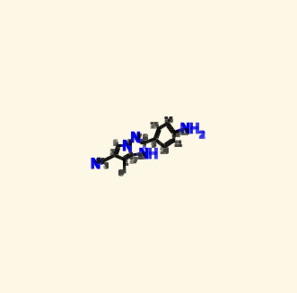 Cc1c(C#N)cn2nc(-c3ccc(N)cc3)[nH]c12